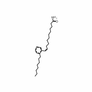 CCCCCCCCc1ccccc1/C=C\CCCCCCCCCC(N)=O